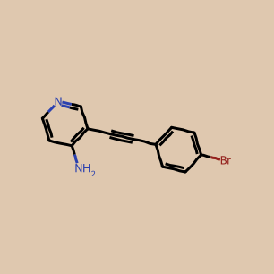 Nc1ccncc1C#Cc1ccc(Br)cc1